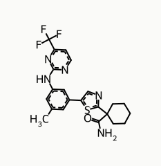 Cc1cc(Nc2nccc(C(F)(F)F)n2)cc(-c2cnc(C3(C(N)=O)CCCCC3)s2)c1